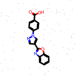 O=C(O)c1ccc(-n2cc(-c3nc4ccccc4o3)cn2)cc1